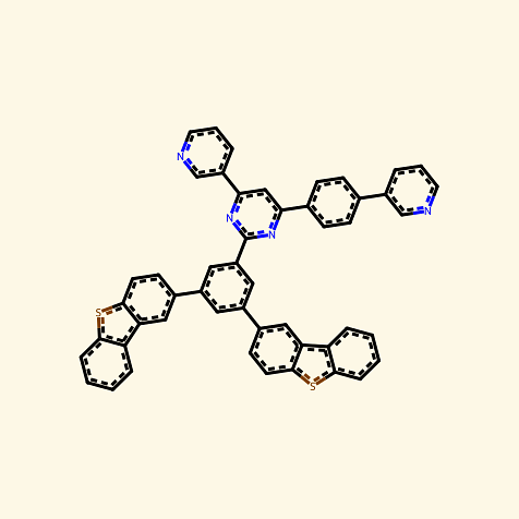 c1cncc(-c2ccc(-c3cc(-c4cccnc4)nc(-c4cc(-c5ccc6sc7ccccc7c6c5)cc(-c5ccc6sc7ccccc7c6c5)c4)n3)cc2)c1